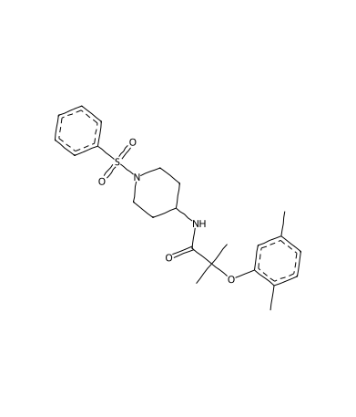 Cc1ccc(C)c(OC(C)(C)C(=O)NC2CCN(S(=O)(=O)c3ccccc3)CC2)c1